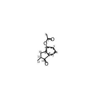 CC(=O)Oc1cccc2c1CC(C)C2=O